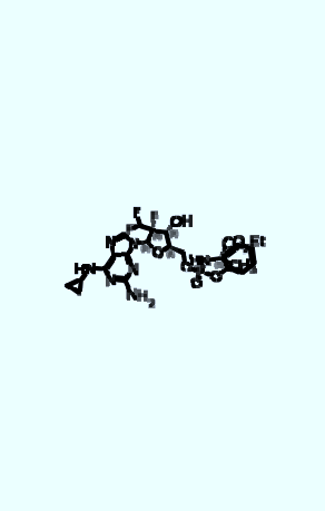 CCOC(=O)[C@H](C)N[P@@](=O)(OC[C@H]1O[C@@H](n2cnc3c(NC4CC4)nc(N)nc32)[C@@](F)(C(F)F)[C@@H]1O)Oc1ccccc1